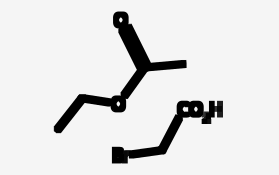 CCOC(C)=O.O=C(O)CBr